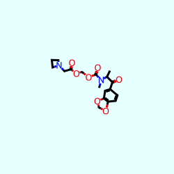 CC(C(=O)c1ccc2c(c1)OCO2)N(C)C(=O)OCOC(=O)CN1CCC1